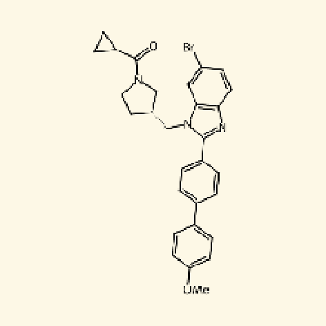 COc1ccc(-c2ccc(-c3nc4ccc(Br)cc4n3C[C@@H]3CCN(C(=O)C4CC4)C3)cc2)cc1